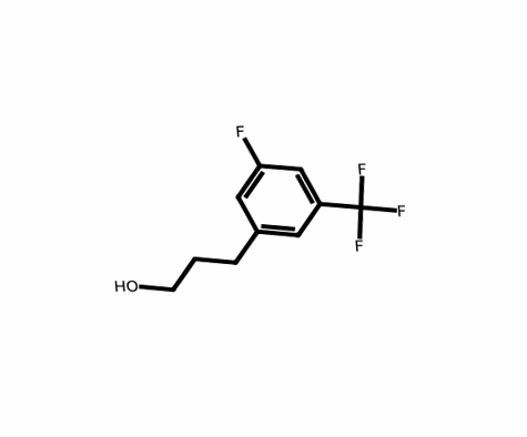 OCCCc1cc(F)cc(C(F)(F)F)c1